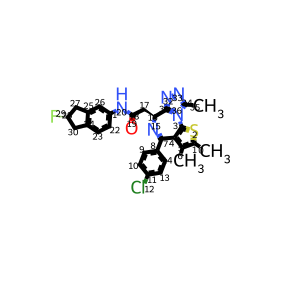 Cc1sc2c(c1C)C(c1ccc(Cl)cc1)=N[C@@H](CC(=O)Nc1ccc3c(c1)C[C@@H](F)C3)c1nnc(C)n1-2